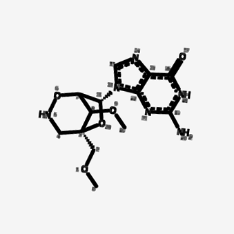 COC[C@]12CNOC(C1OC)[C@H](n1cnc3c(=O)[nH]c(N)nc31)O2